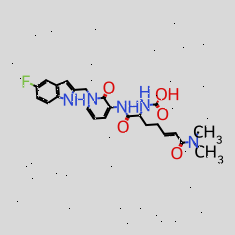 CN(C)C(=O)C=CCCC(NC(=O)O)C(=O)Nc1cccn(Cc2cc3cc(F)ccc3[nH]2)c1=O